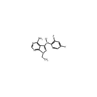 CCn1nc([S+]([O-])c2ccc(F)cc2F)c2c(N)ncnc21